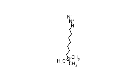 C[Si](C)(C)CCCCCCCN=[N+]=[N-]